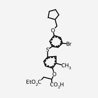 CCOC(=O)CC(Oc1ccc(Sc2cc(Br)cc(OCC3CCCC3)c2)cc1C)C(=O)O